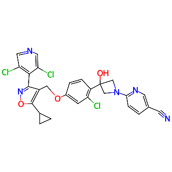 N#Cc1ccc(N2CC(O)(c3ccc(OCc4c(-c5c(Cl)cncc5Cl)noc4C4CC4)cc3Cl)C2)nc1